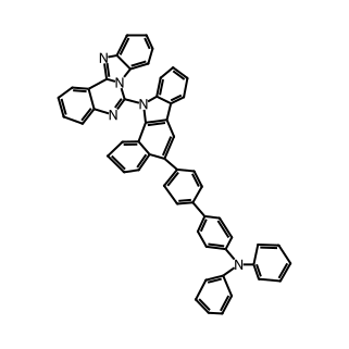 c1ccc(N(c2ccccc2)c2ccc(-c3ccc(-c4cc5c6ccccc6n(-c6nc7ccccc7c7nc8ccccc8n67)c5c5ccccc45)cc3)cc2)cc1